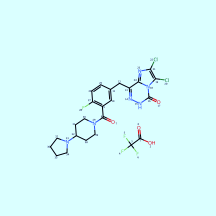 O=C(O)C(F)(F)F.O=C(c1cc(Cc2n[nH]c(=O)n3c(Cl)c(Cl)nc23)ccc1F)N1CCC(N2CCCC2)CC1